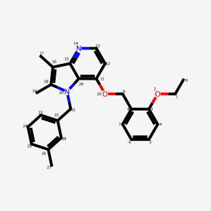 CCOc1ccccc1COc1ccnc2c(C)c(C)n(Cc3cccc(C)c3)c12